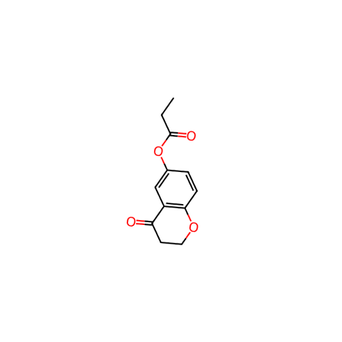 CCC(=O)Oc1ccc2c(c1)C(=O)CCO2